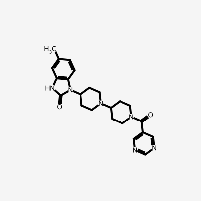 Cc1ccc2c(c1)[nH]c(=O)n2C1CCN(C2CCN(C(=O)c3cncnc3)CC2)CC1